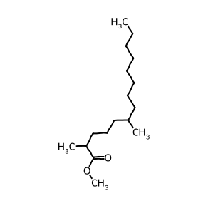 CCCCCCCCC(C)CCCC(C)C(=O)OC